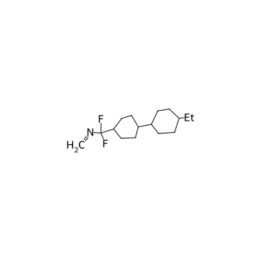 C=NC(F)(F)C1CCC(C2CCC(CC)CC2)CC1